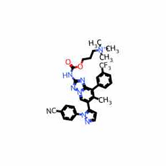 Cc1c(-c2ccnn2-c2ccc(C#N)cc2)cn2nc(NC(=O)OCCC[N+](C)(C)C)nc2c1-c1cccc(C(F)(F)F)c1